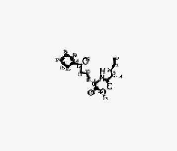 CCC[C@H](C)C(=O)N[C@@H](CCCC(=O)c1ccccc1)C(=O)OC